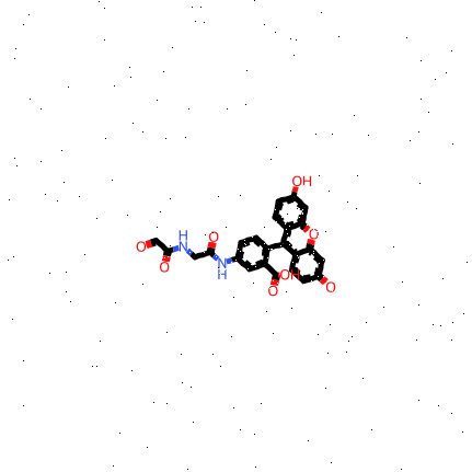 O=CC(=O)NCC(=O)Nc1ccc(-c2c3ccc(=O)cc-3oc3cc(O)ccc23)c(C(=O)O)c1